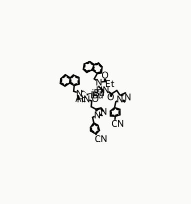 CCC(=O)N(Cc1cccc2ccccc12)CC(NC(=O)Cc1cncn1Cc1ccc(C#N)cc1)C(C)CC.CC[C@H](C)[C@@H](CN(Cc1cccc2ccccc12)C(C)=O)NC(=O)Cc1cncn1Cc1ccc(C#N)cc1